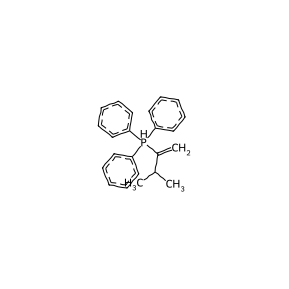 C=C(C(C)C)[PH](c1ccccc1)(c1ccccc1)c1ccccc1